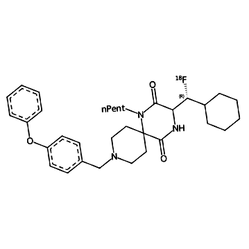 CCCCCN1C(=O)C([C@H]([18F])C2CCCCC2)NC(=O)C12CCN(Cc1ccc(Oc3ccccc3)cc1)CC2